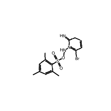 Cc1cc(C)c(S(=O)(=O)ON[N+]2=C(Br)C=CCC2=N)c(C)c1